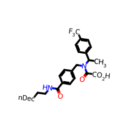 CCCCCCCCCCCCNC(=O)c1ccc(CN(C(=O)C(=O)O)C(C)c2ccc(C(F)(F)F)cc2)cc1